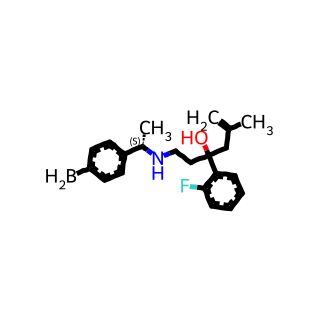 Bc1ccc([C@H](C)NCCC(O)(CC(=C)C)c2ccccc2F)cc1